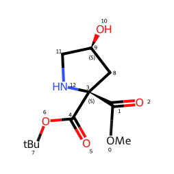 COC(=O)[C@]1(C(=O)OC(C)(C)C)C[C@H](O)CN1